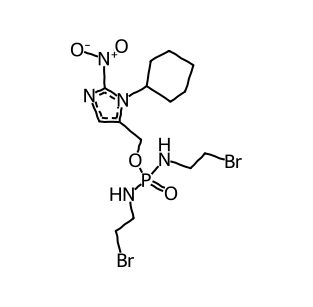 O=[N+]([O-])c1ncc(COP(=O)(NCCBr)NCCBr)n1C1CCCCC1